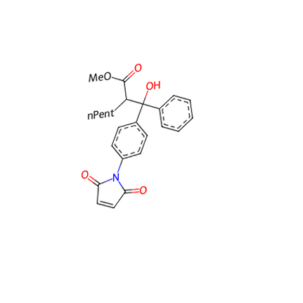 CCCCCC(C(=O)OC)C(O)(c1ccccc1)c1ccc(N2C(=O)C=CC2=O)cc1